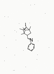 CC1=C(I)C2(C)CC(/C=N/c3ccccc3)C1(C)C2C